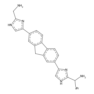 CC(C)C(N)c1nc(-c2ccc3c(c2)Cc2cc(-c4c[nH]c(CN)n4)ccc2-3)c[nH]1